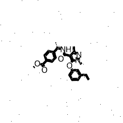 CCc1cccc(Oc2c(C(=O)N[C@@H](C)c3ccc(C(=O)OC)cc3)c(C)nn2C)c1